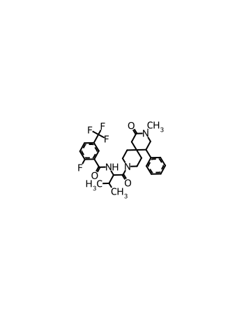 CC(C)C(NC(=O)c1cc(C(F)(F)F)ccc1F)C(=O)N1CCC2(CC1)CC(=O)N(C)CC2c1ccccc1